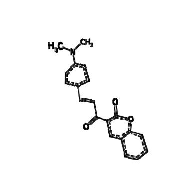 CN(C)c1ccc(C=CC(=O)c2cc3ccccc3oc2=O)cc1